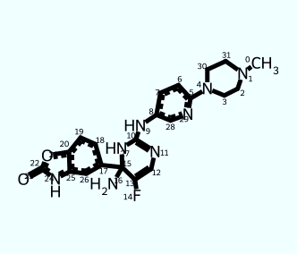 CN1CCN(c2ccc(NC3=NC=C(F)C(N)(c4ccc5oc(=O)[nH]c5c4)N3)cn2)CC1